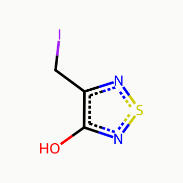 Oc1nsnc1CI